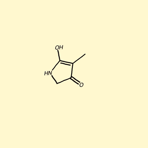 CC1=C(O)NCC1=O